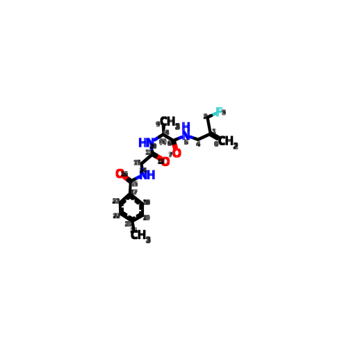 C=C(CF)CNC(=O)[C@H](C)NC(=O)CNC(=O)c1ccc(C)cc1